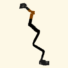 [CH2]CSCCCCCCCC